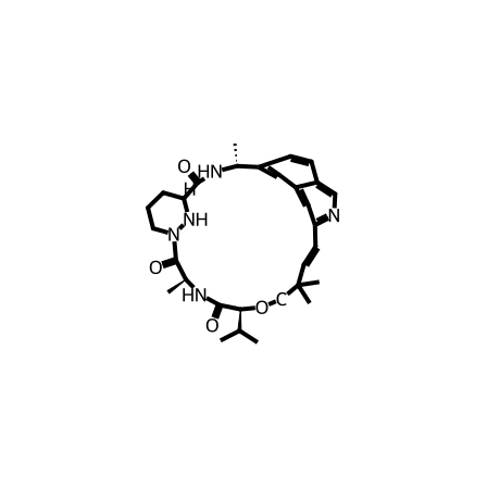 CC(C)[C@@H]1OCC(C)(C)/C=C/c2cc3cc(ccc3cn2)[C@@H](C)NC(=O)[C@@H]2CCCN(N2)C(=O)[C@H](C)NC1=O